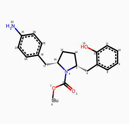 CC(C)(C)OC(=O)N1[C@@H](Cc2ccccc2O)CC[C@H]1Cc1ccc(N)cc1